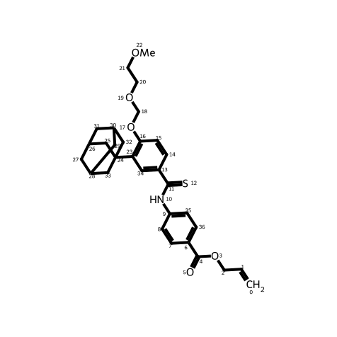 C=CCOC(=O)c1ccc(NC(=S)c2ccc(OCOCCOC)c(C34CC5CC(CC(C5)C3)C4)c2)cc1